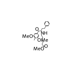 COC(=O)CCCCCNC(CCc1ccccc1)C(=O)c1cc(OC)c(C)c(OC)c1